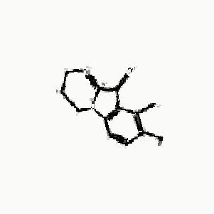 Cc1ccc2c(c1C)C(=O)C1=NCCCN12